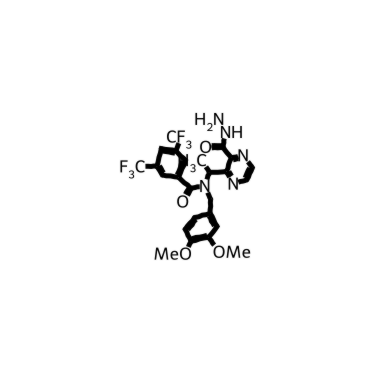 COc1ccc(CN(C(=O)c2cc(C(F)(F)F)cc(C(F)(F)F)c2)C(C)c2nccnc2C(=O)NN)cc1OC